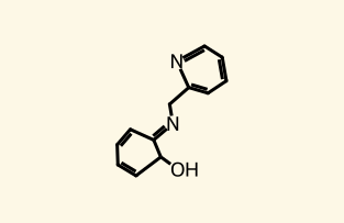 OC1C=CC=C/C1=N\Cc1ccccn1